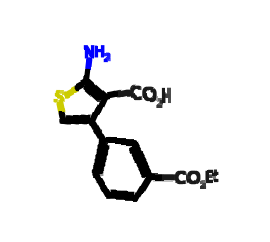 CCOC(=O)c1cccc(-c2csc(N)c2C(=O)O)c1